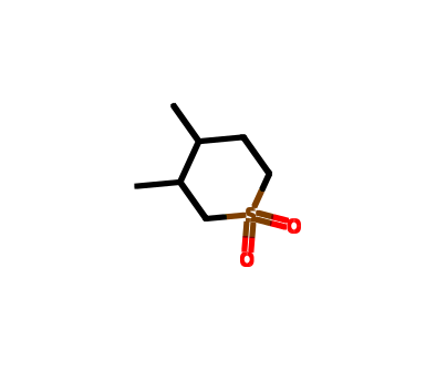 CC1CCS(=O)(=O)CC1C